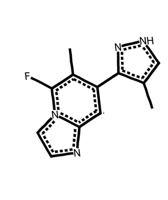 Cc1c[nH]nc1-c1[c]c2nccn2c(F)c1C